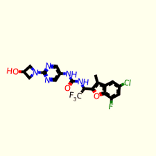 Cc1c(C(NC(=O)Nc2cnc(N3CC(O)C3)nc2)C(F)(F)F)oc2c(F)cc(Cl)cc12